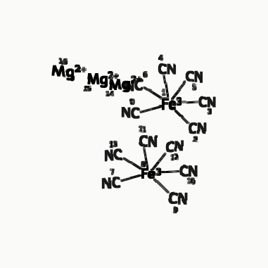 N#[C][Fe-3]([C]#N)([C]#N)([C]#N)([C]#N)[C]#N.N#[C][Fe-3]([C]#N)([C]#N)([C]#N)([C]#N)[C]#N.[Mg+2].[Mg+2].[Mg+2]